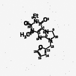 CCn1c(=O)c2c(nc3n2CCN3Cc2ccco2)n(C)c1=O